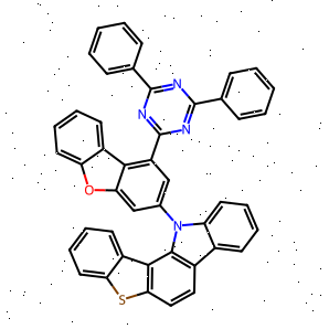 c1ccc(-c2nc(-c3ccccc3)nc(-c3cc(-n4c5ccccc5c5ccc6sc7ccccc7c6c54)cc4oc5ccccc5c34)n2)cc1